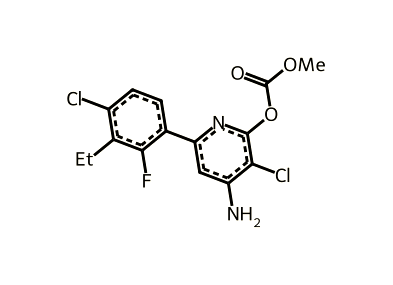 CCc1c(Cl)ccc(-c2cc(N)c(Cl)c(OC(=O)OC)n2)c1F